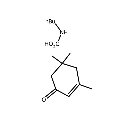 CC1=CC(=O)CC(C)(C)C1.CCCCNC(=O)O